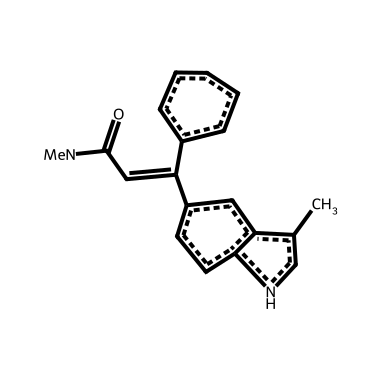 CNC(=O)/C=C(\c1ccccc1)c1ccc2[nH]cc(C)c2c1